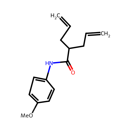 C=CCC(CC=C)C(=O)Nc1ccc(OC)cc1